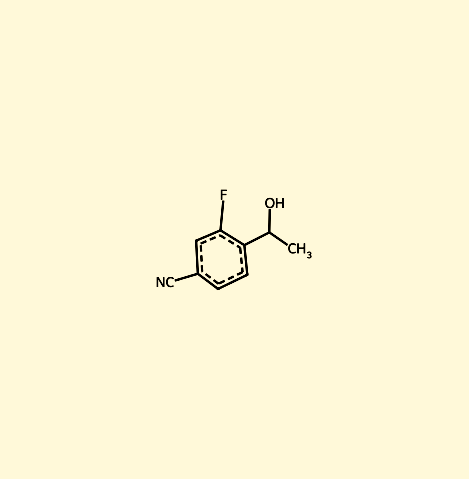 CC(O)c1ccc(C#N)cc1F